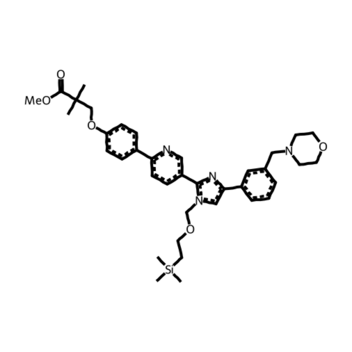 COC(=O)C(C)(C)COc1ccc(-c2ccc(-c3nc(-c4cccc(CN5CCOCC5)c4)cn3COCC[Si](C)(C)C)cn2)cc1